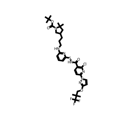 CC(C)(C)OC(=O)N1CC(CCCNc2cccc(SNC(=O)c3ccc(-n4ccc(OCC(C)(C)C(F)(F)F)n4)nc3Cl)n2)CC1(C)C